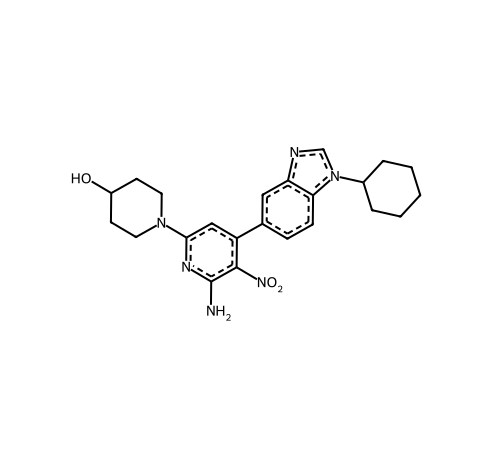 Nc1nc(N2CCC(O)CC2)cc(-c2ccc3c(c2)ncn3C2CCCCC2)c1[N+](=O)[O-]